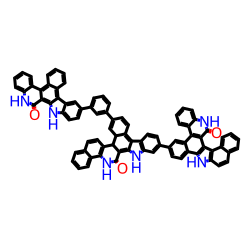 O=C1Nc2c(ccc3ccccc23)C2C1=c1[nH]c3cc(-c4ccc5c(c4)c4c6ccccc6[nH]c(=O)c4c4c5[nH]c5ccc6ccccc6c54)ccc3c1=C1C=CC(c3cccc(-c4ccc5[nH]c6c7c(=O)[nH]c8ccccc8c7c7ccccc7c6c5c4)c3)=CC12